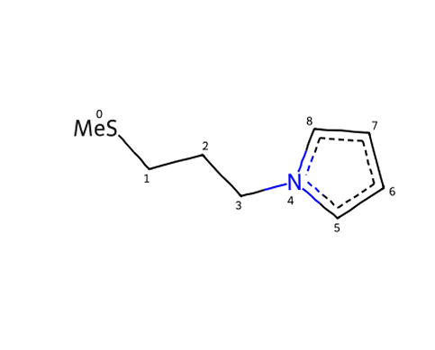 CSCCCn1cccc1